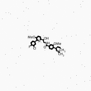 C=N/C=C(\C=C/C)c1ccc(C(=O)NCC(O)c2ccc(OC)c(-c3ccc(F)c(Cl)c3)n2)cc1OC